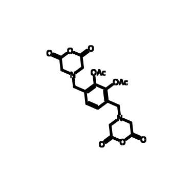 CC(=O)Oc1c(CN2CC(=O)OC(=O)C2)ccc(CN2CC(=O)OC(=O)C2)c1OC(C)=O